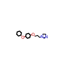 C1=NCCN1CCCOc1ccc(Oc2ccccc2)cc1